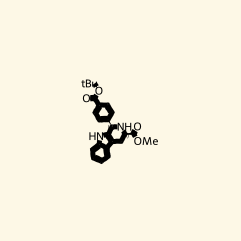 COC(=O)[C@H]1Cc2c([nH]c3ccccc23)[C@H](c2ccc(C(=O)OC(C)(C)C)cc2)N1